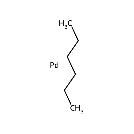 CCCCCC.[Pd]